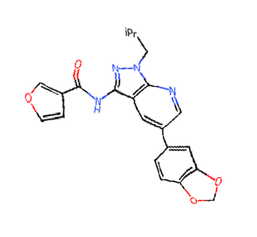 CC(C)Cn1nc(NC(=O)c2ccoc2)c2cc(-c3ccc4c(c3)OCO4)cnc21